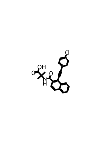 CC(C)(NC(=O)c1ccc2ccccc2c1C#Cc1ccc(Cl)cc1)C(=O)O